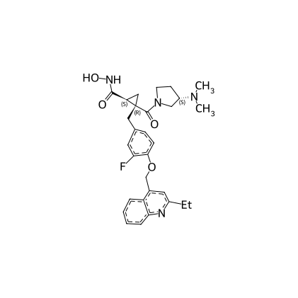 CCc1cc(COc2ccc(C[C@]3(C(=O)N4CC[C@H](N(C)C)C4)C[C@@H]3C(=O)NO)cc2F)c2ccccc2n1